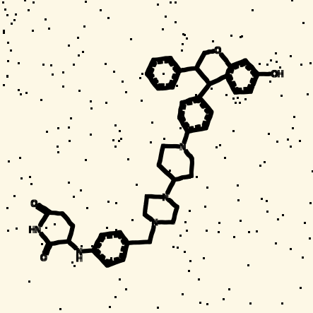 O=C1CCC(Nc2ccc(CN3CCN(C4CCN(c5ccc(C6c7ccc(O)cc7OCC6c6ccccc6)cc5)CC4)CC3)cc2)C(=O)N1